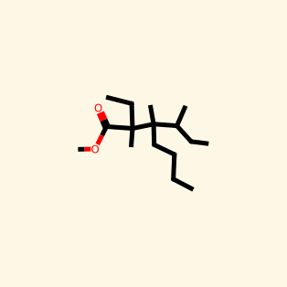 CCCCC(C)(C(C)CC)C(C)(CC)C(=O)OC